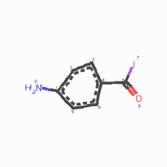 Nc1ccc(C(=O)I)cc1